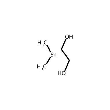 OCCO.[CH3][Sn][CH3]